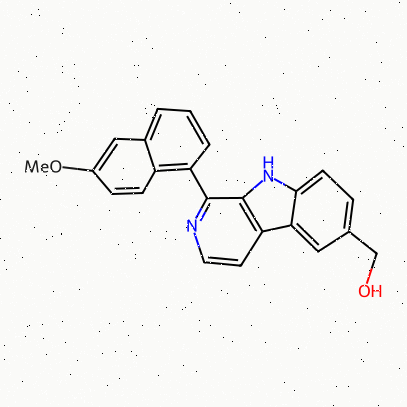 COc1ccc2c(-c3nccc4c3[nH]c3ccc(CO)cc34)cccc2c1